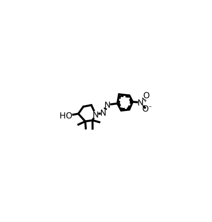 CC1(C)C(O)CCN(N=Nc2ccc([N+](=O)[O-])cc2)C1(C)C